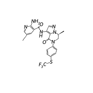 Cc1cnc(N)c(C(=O)Nc2cnn3c2C(=O)N(c2ccc(SC(F)(F)F)cc2)C[C@@H]3C)c1